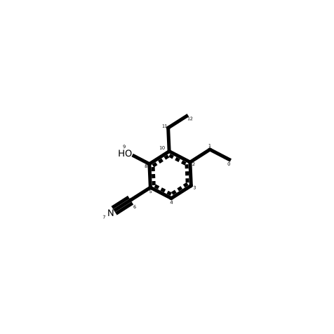 CCc1ccc(C#N)c(O)c1CC